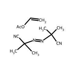 C=COC(C)=O.CC(C)(C#N)N=NC(C)(C)C#N